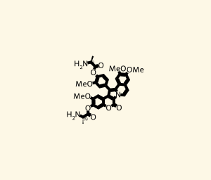 COc1cc2ccn3c(c(-c4ccc(OC(=O)[C@H](C)N)c(OC)c4)c4c5cc(OC)c(OC(=O)[C@H](C)N)cc5oc(=O)c43)c2cc1OC